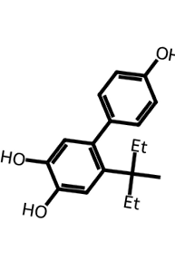 CCC(C)(CC)c1cc(O)c(O)cc1-c1ccc(O)cc1